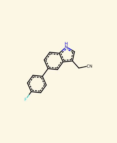 N#CCc1c[nH]c2ccc(-c3ccc(F)cc3)cc12